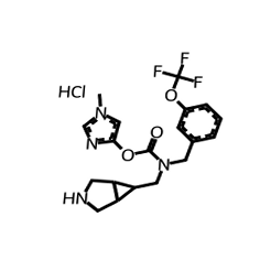 Cl.Cn1cnc(OC(=O)N(Cc2cccc(OC(F)(F)F)c2)CC2C3CNCC32)c1